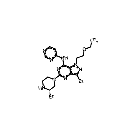 CCc1nn(CCOCC(F)(F)F)c2c(Nc3ccncn3)nc(N3CCN[C@@H](CC)C3)nc12